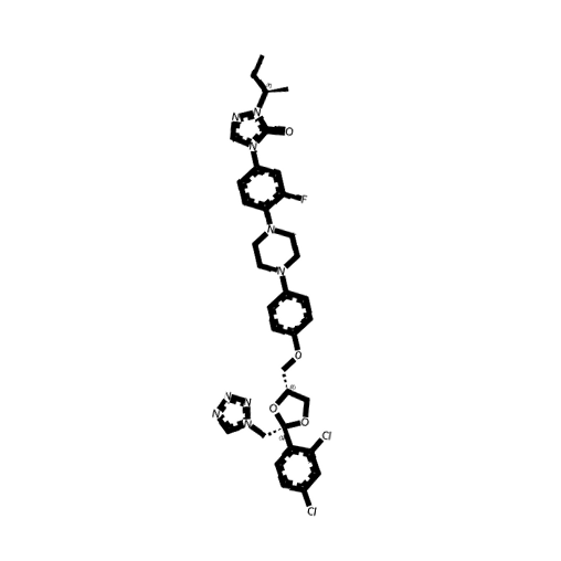 CC[C@@H](C)n1ncn(-c2ccc(N3CCN(c4ccc(OC[C@@H]5CO[C@@](Cn6cnnn6)(c6ccc(Cl)cc6Cl)O5)cc4)CC3)c(F)c2)c1=O